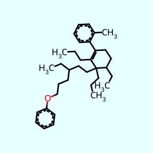 CCCC1=C(c2ccccc2C)CCC(CC)C1(CCC)CCC(CC)CCCOc1ccccc1